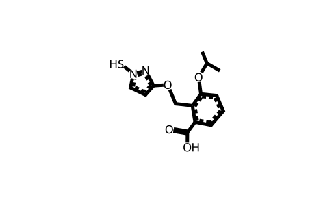 CC(C)Oc1cccc(C(=O)O)c1COc1ccn(S)n1